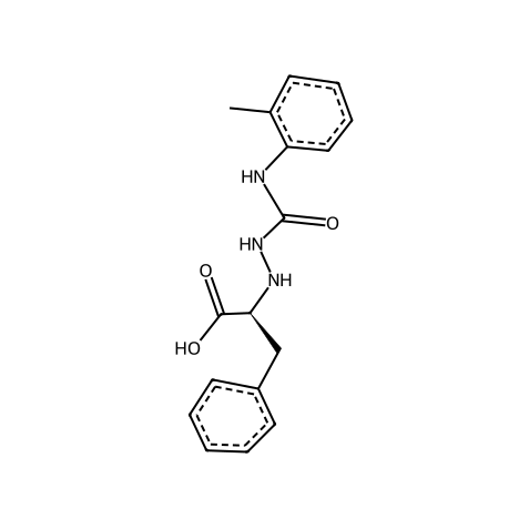 Cc1ccccc1NC(=O)NN[C@@H](Cc1ccccc1)C(=O)O